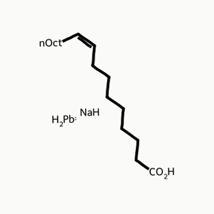 CCCCCCCC/C=C\CCCCCCCC(=O)O.[NaH].[PbH2]